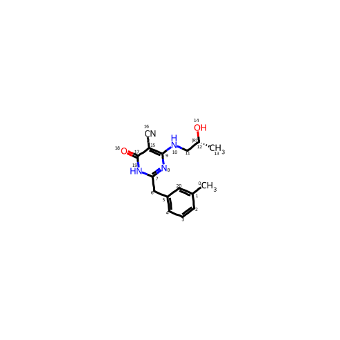 Cc1cccc(Cc2nc(NC[C@@H](C)O)c(C#N)c(=O)[nH]2)c1